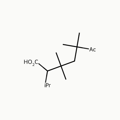 CC(=O)C(C)(C)CC(C)(C)C(C(=O)O)C(C)C